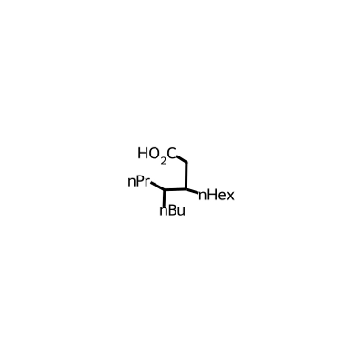 CCCCCCC(CC(=O)O)C(CCC)CCCC